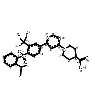 CC(C)c1ccccc1S(=O)(=O)c1ccc(-c2cc(N3CCC(C(=O)O)CC3)ncn2)cc1C(F)(F)F